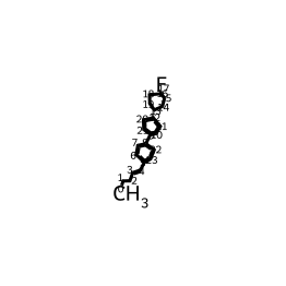 CCCC=Cc1ccc(-c2ccc([C@H]3CC[C@H](F)CC3)cc2)cc1